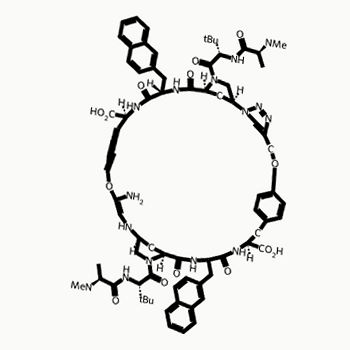 CN[C@@H](C)C(=O)N[C@H](C(=O)N1C[C@@H]2C[C@H]1C(=O)NC(Cc1ccc3ccccc3c1)C(=O)N[C@H](C(=O)O)Cc1ccc(cc1)OCc1cn(nn1)[C@H]1C[C@@H](C(=O)N[C@@H](Cc3ccc4ccccc4c3)C(=O)N[C@H](C(=O)O)c3ccc(cc3)O/C(N)=C/N2)N(C(=O)[C@@H](NC(=O)[C@H](C)NC)C(C)(C)C)C1)C(C)(C)C